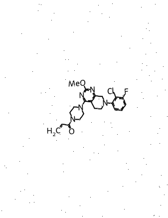 C=CC(=O)N1CCN(c2nc(OC)nc3c2CCN(c2cccc(F)c2Cl)C3)CC1